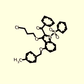 Cc1ccc(COc2cccc3c2c(OCCCCl)c(C(=O)c2ccccc2)n3S(=O)(=O)c2ccccc2)cc1